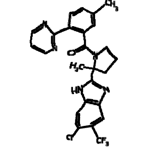 Cc1ccc(-c2ncccn2)c(C(=O)N2CCCC2(C)c2nc3cc(C(F)(F)F)c(Cl)cc3[nH]2)c1